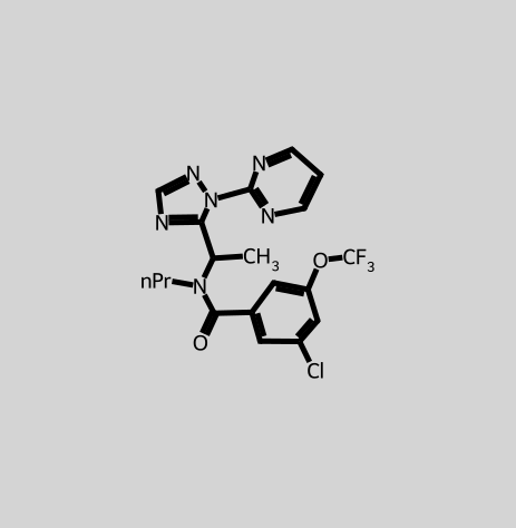 CCCN(C(=O)c1cc(Cl)cc(OC(F)(F)F)c1)C(C)c1ncnn1-c1ncccn1